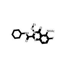 CCOn1c(C(=O)NC2CCCCC2)nc2ccc(F)c(NC(C)=O)c2c1=O